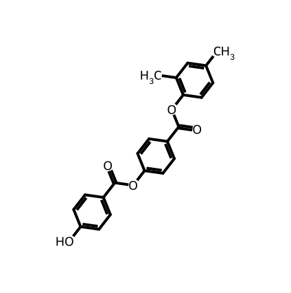 Cc1ccc(OC(=O)c2ccc(OC(=O)c3ccc(O)cc3)cc2)c(C)c1